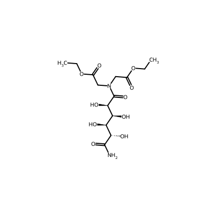 CCOC(=O)CN(CC(=O)OCC)C(=O)[C@H](O)[C@@H](O)[C@H](O)[C@H](O)C(N)=O